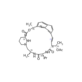 CC(=O)O[C@@H](C)[C@H]1/C=C/c2ccc3ccc(nc3c2)[C@@H](C)OC(=O)[C@@H]2CCCN(C[C@H](C)NC(=O)[C@H](C(C)C)NC1=O)N2